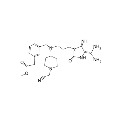 COC(=O)Cc1cccc(CN(CCCN2C(=N)C(=C(N)N)NC2=O)C2CCN(CC#N)CC2)c1